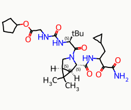 CC(C)(C)[C@H](NC(=O)NCC(=O)OC1CCCC1)C(=O)N1C[C@H]2[C@@H]([C@H]1C(=O)NC(CC1CC1)C(=O)C(N)=O)C2(C)C